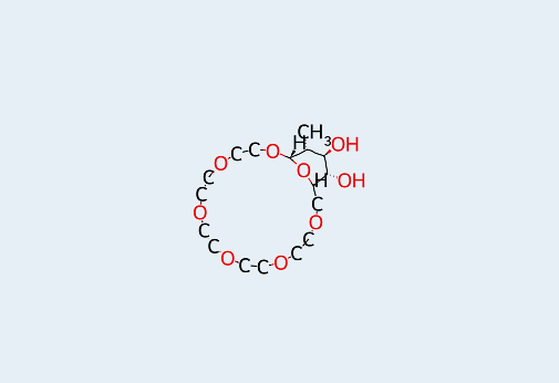 C[C@H]1[C@H]2OCCOCCOCCOCCOCCOC[C@@H](O2)[C@@H](O)[C@@H]1O